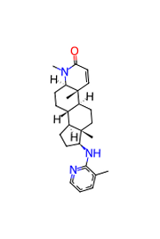 Cc1cccnc1N[C@H]1CC[C@H]2[C@@H]3CC[C@H]4N(C)C(=O)C=C[C@]4(C)[C@H]3CC[C@]12C